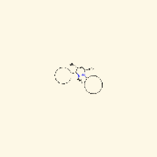 CCCCC1=CC(CCC)N(C2CCCCCCCCCCC2)N(C)C1C1CCCCCCCCCC1